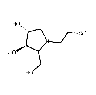 OCCN1C[C@@H](O)[C@H](O)C1CO